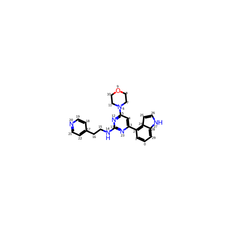 c1cc(-c2cc(N3CCOCC3)nc(NCCc3ccncc3)n2)c2cc[nH]c2c1